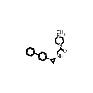 CN1CCN(C(=O)CN[C@@H]2C[C@H]2c2ccc(-c3ccccc3)cc2)CC1